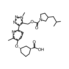 Cc1nc(-c2nnn(C)c2COC(=O)N2CCC(CC(C)C)C2)ccc1O[C@H]1CCC[C@H](C(=O)O)C1